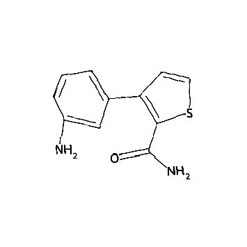 NC(=O)c1sccc1-c1cccc(N)c1